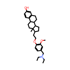 CCN(CC)Cc1ccc(OCCC2CCC3C4CCc5cc(O)ccc5C4CCC23C)c(OC)c1